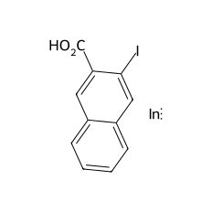 O=C(O)c1cc2ccccc2cc1I.[In]